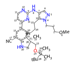 COCCCn1ncc(Nc2nccc(-c3cc(C#N)c4c(c3)[C@@](C)(CO[Si](C)(C)C(C)(C)C)CN4)n2)c1CCC(C)C